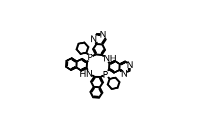 c1ccc2cc3c(cc2c1)Nc1cc2ccccc2cc1P(C1CCCCC1)c1cc2ncncc2cc1Nc1cc2cncnc2cc1P3C1CCCCC1